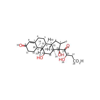 CC1C[C@H]2[C@@H]3CCC4=CC(=O)CC[C@]4(C)[C@H]3C(O)C[C@]2(C)[C@@]1(O)C(=O)C(O)CC(=O)O